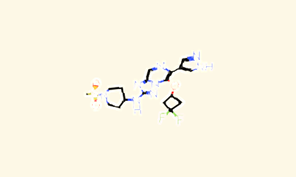 CS(=O)(=O)N1CCC(Nc2nc3cnc(-c4cn[nH]c4)c(OC4CC(F)(F)C4)n3n2)CC1